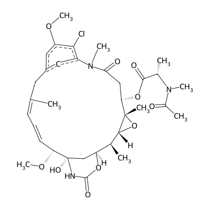 COc1cc2cc(c1Cl)N(C)C(=O)C[C@H](OC(=O)[C@H](C)N(C)C(C)=O)[C@]1(C)O[C@@H]1[C@@H](C)[C@@H]1C[C@@](O)(NC(=O)O1)[C@H](OC)/C=C/C=C(\C)C2